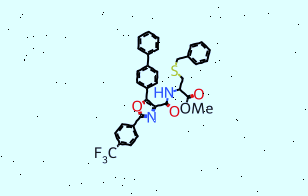 COC(=O)C(CSCc1ccccc1)NC(=O)c1nc(-c2ccc(C(F)(F)F)cc2)oc1-c1ccc(-c2ccccc2)cc1